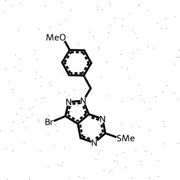 COc1ccc(Cn2nc(Br)c3cnc(SC)nc32)cc1